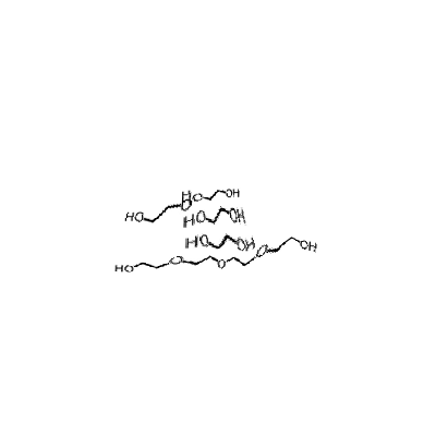 OCCO.OCCO.OCCO.OCCO.OCCOCCOCCOCCO